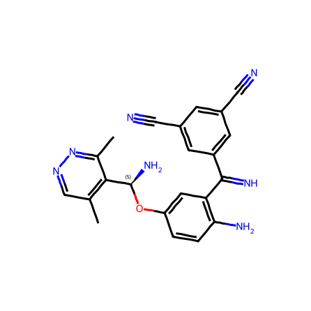 Cc1cnnc(C)c1[C@@H](N)Oc1ccc(N)c(C(=N)c2cc(C#N)cc(C#N)c2)c1